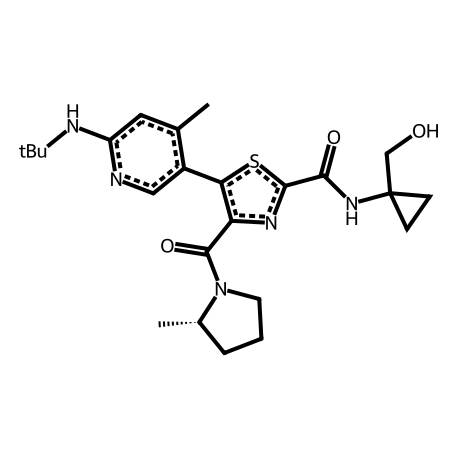 Cc1cc(NC(C)(C)C)ncc1-c1sc(C(=O)NC2(CO)CC2)nc1C(=O)N1CCC[C@@H]1C